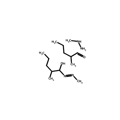 CCCC(C)C(O)N=NC.CCCC(C)C=O.CNN